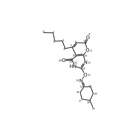 CCCCCc1cc(=O)oc2nc(ON=C3CCC(C)CC3)[nH]c(=O)c12